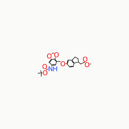 COC(=O)CC1CCc2cc(OCc3cc(NC(=O)OC(C)(C)C)cc4c3OCO4)ccc21